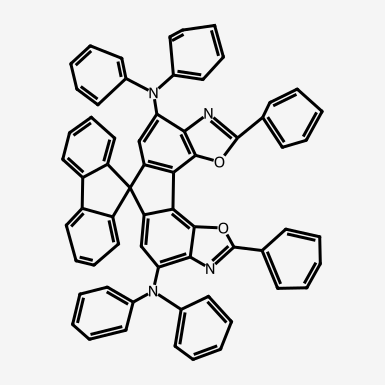 c1ccc(-c2nc3c(N(c4ccccc4)c4ccccc4)cc4c(c3o2)-c2c(cc(N(c3ccccc3)c3ccccc3)c3nc(-c5ccccc5)oc23)C42c3ccccc3-c3ccccc32)cc1